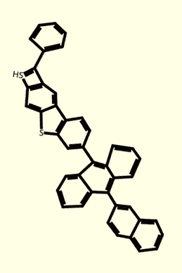 c1ccc(C2=[SH]c3cc4sc5cc(-c6c7ccccc7c(-c7ccc8ccccc8c7)c7ccccc67)ccc5c4cc32)cc1